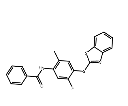 Cc1cc(Sc2nc3ccccc3s2)c(F)cc1NC(=O)c1ccccc1